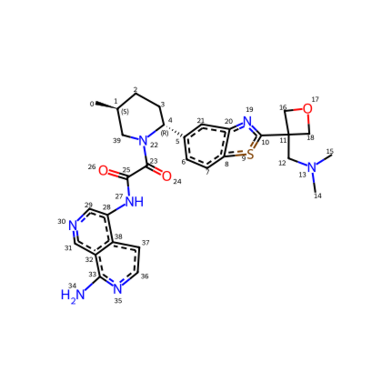 C[C@H]1CC[C@H](c2ccc3sc(C4(CN(C)C)COC4)nc3c2)N(C(=O)C(=O)Nc2cncc3c(N)nccc23)C1